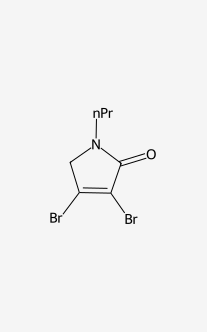 CCCN1CC(Br)=C(Br)C1=O